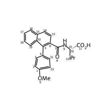 COc1ccc(-c2c(C(=O)N[C@H](C(=O)O)C(C)C)ccc3ccccc23)cc1